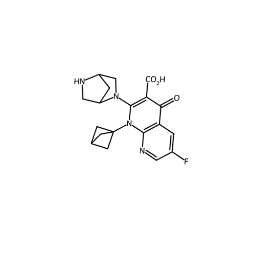 O=C(O)c1c(N2CC3CC2CN3)n(C23CC(C2)C3)c2ncc(F)cc2c1=O